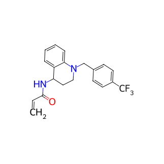 C=CC(=O)NC1CCN(Cc2ccc(C(F)(F)F)cc2)c2ccccc21